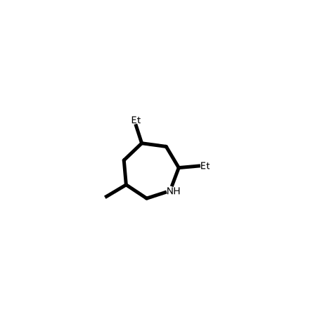 CCC1CC(C)CNC(CC)C1